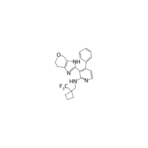 FC(F)(F)C1(CNc2nccc(-c3ccccc3)c2-c2nc3c([nH]2)COCC3)CCC1